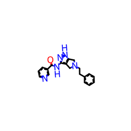 O=C(Nc1n[nH]c2c1CN(CCc1ccccc1)C2)c1cccnc1